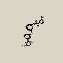 CC(C)(C)c1cccc(NC(=O)/C=C/c2cccc(Oc3ccnc(C4=NC(C(=O)O)CCN4)c3)c2)c1